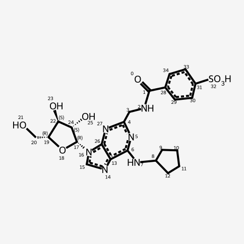 O=C(NCc1nc(NC2CCCC2)c2ncn([C@@H]3O[C@H](CO)[C@@H](O)[C@@H]3O)c2n1)c1ccc(S(=O)(=O)O)cc1